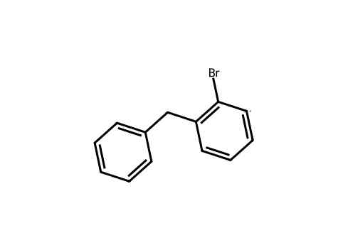 Brc1[c]cccc1Cc1ccccc1